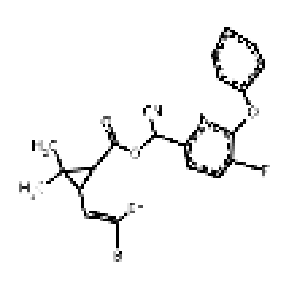 CC1(C)C(C=C(Br)Br)C1C(=O)OC(C#N)c1ccc(F)c(Oc2ccccc2)n1